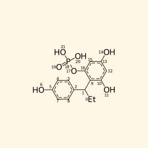 CCC(c1ccc(O)cc1)c1c(O)cc(O)cc1OP(=O)(O)O